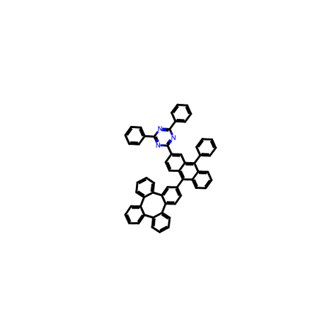 c1ccc(-c2nc(-c3ccccc3)nc(-c3ccc4c(-c5ccc6c(c5)-c5ccccc5-c5ccccc5-c5ccccc5-6)c5ccccc5c(-c5ccccc5)c4c3)n2)cc1